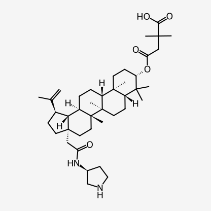 C=C(C)[C@@H]1CC[C@]2(CC(=O)N[C@H]3CCNC3)CC[C@]3(C)[C@H](CC[C@@H]4[C@@]5(C)CC[C@H](OC(=O)CC(C)(C)C(=O)O)C(C)(C)[C@@H]5CC[C@]43C)[C@@H]12